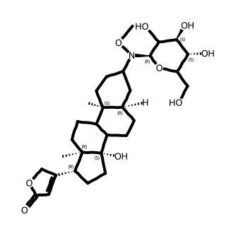 CON(C1CC[C@]2(C)C3CC[C@]4(C)[C@@H](C5=CC(=O)OC5)CC[C@]4(O)C3CC[C@@H]2C1)[C@@H]1OC(CO)[C@@H](O)[C@H](O)C1O